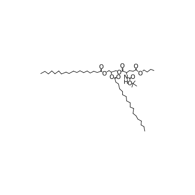 CCCCCCCCCCCCCCCCCC(=O)OCC(COC(=O)C(CCC(=O)OCCCC)NC(=O)OC(C)(C)C)OC(=O)CCCCCCCCCCCCCCCCC